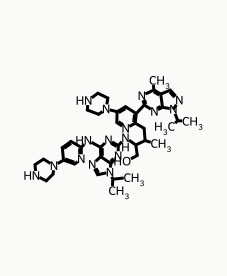 Cc1nc(-c2cc(N3CCNCC3)cnc2CC(C)C(CO)Nc2nc(Nc3ccc(N4CCNCC4)cn3)c3ncn(C(C)C)c3n2)nc2c1cnn2C(C)C